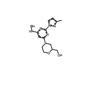 Cc1ccn(-c2nc(NC(C)(C)C)cc(N3CCOC(CO)C3)n2)n1